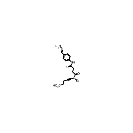 CCN(C#CCCC(=O)O)C(=O)CCC(=O)Nc1ccc(C=NN)cc1